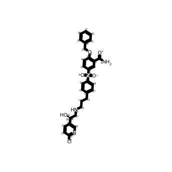 NC(=O)c1cc(S(=O)(=O)c2ccc(CCCNC[C@H](O)c3ccc(Cl)nc3)cc2)ccc1OCc1ccccc1